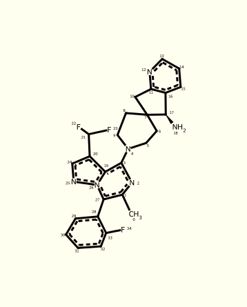 Cc1nc(N2CCC3(CC2)Cc2ncccc2[C@H]3N)c2c(C(F)F)cnn2c1-c1ccccc1F